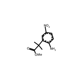 COC(=O)C(C)(C)c1cc([N+](=O)[O-])ccc1N